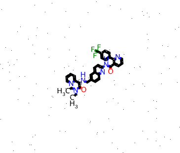 CCN(CC)C(=O)[C@@H](NCc1ccc2nc(NC(=O)c3cccnc3-c3ccc(C(F)(F)F)cc3)ccc2c1)c1ccccn1